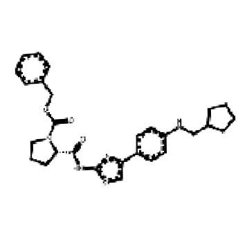 O=C(Nc1nc(-c2ccc(NCC3CCCC3)cc2)cs1)[C@@H]1CCCN1C(=O)OCc1ccccc1